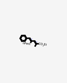 CCCCCC(=C\c1ccccc1)/C=C(\C)C(=O)OCC